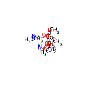 CC(C)N(C(C)C)P(O)OCCC#N.COc1ccc(C(OC[C@@H](O)CC#Cc2ccc(/N=C\N(C)C)nc2)(c2ccccc2)c2ccc(OC)cc2)cc1